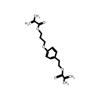 C=C(C)C(=O)OCCCOc1ccc(CCOC(=O)C(=C)C)cc1